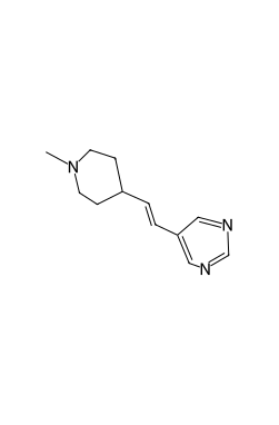 CN1CCC(C=Cc2cncnc2)CC1